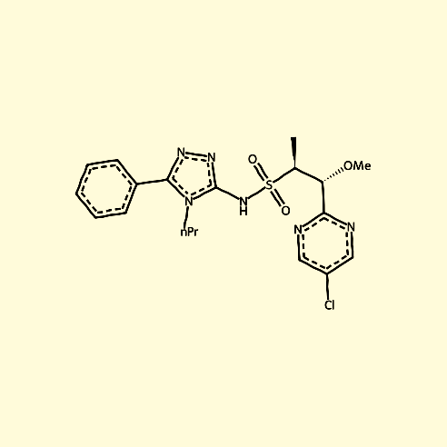 CCCn1c(NS(=O)(=O)[C@@H](C)[C@H](OC)c2ncc(Cl)cn2)nnc1-c1ccccc1